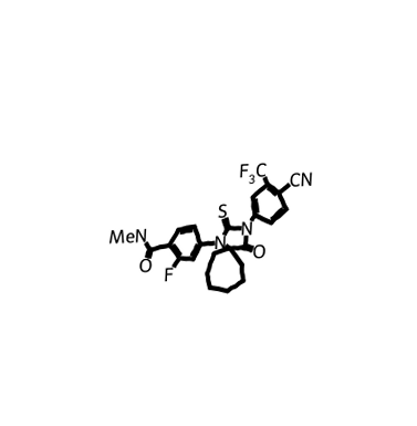 CNC(=O)c1ccc(N2C(=S)N(c3ccc(C#N)c(C(F)(F)F)c3)C(=O)C23CCCCCC3)cc1F